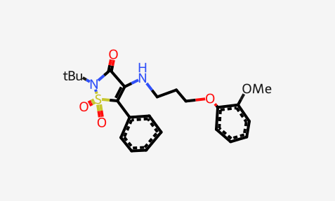 COc1ccccc1OCCCNC1=C(c2ccccc2)S(=O)(=O)N(C(C)(C)C)C1=O